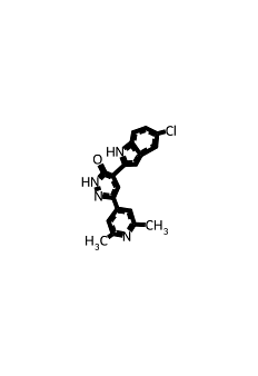 Cc1cc(-c2cc(-c3cc4cc(Cl)ccc4[nH]3)c(=O)[nH]n2)cc(C)n1